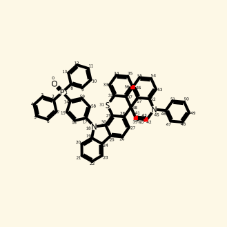 O=P(c1ccccc1)(c1ccccc1)c1ccc(-n2c3ccccc3c3ccc4c(c32)Sc2ccccc2C42c3ccccc3N(c3ccccc3)c3ccccc32)cc1